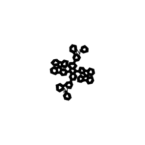 c1ccc(-n2c3ccccc3c3cc(-c4ccc5c(-c6ccc7c(c6)C6(c8ccccc8-c8ccccc86)c6ccccc6-7)c6cc(-c7ccc8c(c7)c7ccccc7n8-c7ccccc7)ccc6c(-c6ccc7c(c6)C6(c8ccccc8-c8ccccc86)c6ccccc6-7)c5c4)ccc32)cc1